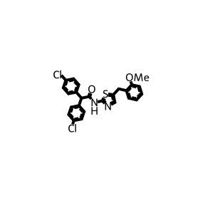 COc1ccccc1Cc1cnc(NC(=O)C(c2ccc(Cl)cc2)c2ccc(Cl)cc2)s1